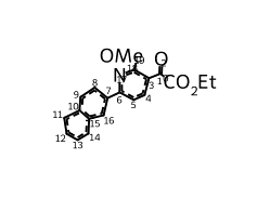 CCOC(=O)C(=O)c1ccc(-c2ccc3ccccc3c2)nc1OC